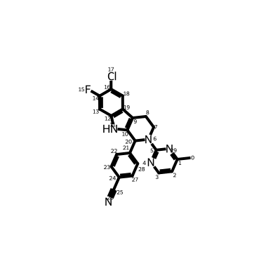 Cc1ccnc(N2CCc3c([nH]c4cc(F)c(Cl)cc34)C2c2ccc(C#N)cc2)n1